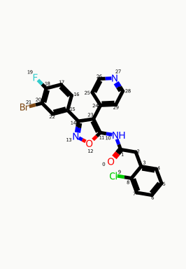 O=C(Cc1ccccc1Cl)Nc1onc(-c2ccc(F)c(Br)c2)c1-c1ccncc1